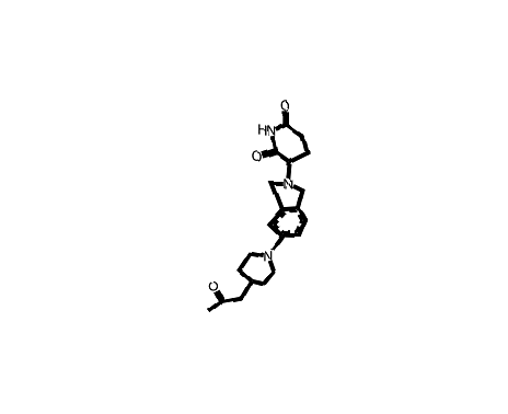 CC(=O)CC1CCN(c2ccc3c(c2)CN(C2CCC(=O)NC2=O)C3)CC1